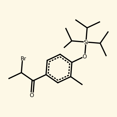 Cc1cc(C(=O)C(C)Br)ccc1O[Si](C(C)C)(C(C)C)C(C)C